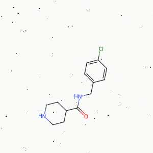 O=C(NCc1ccc(Cl)cc1)C1CCNCC1